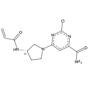 C=CC(=O)N[C@H]1CCN(c2cc(C(N)=O)nc(Cl)n2)C1